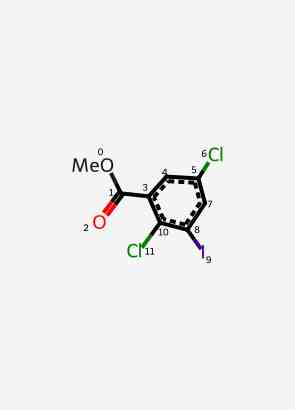 COC(=O)c1cc(Cl)cc(I)c1Cl